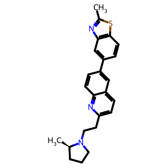 Cc1nc2cc(-c3ccc4nc(CCN5CCC[C@H]5C)ccc4c3)ccc2s1